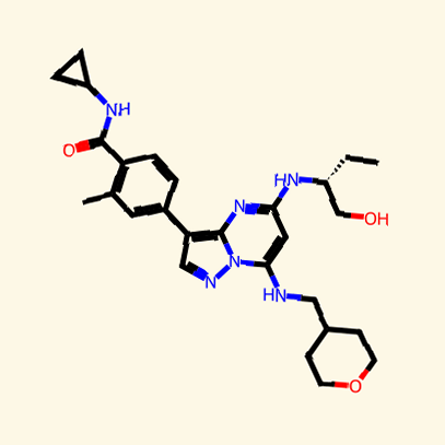 CC[C@H](CO)Nc1cc(NCC2CCOCC2)n2ncc(-c3ccc(C(=O)NC4CC4)c(C)c3)c2n1